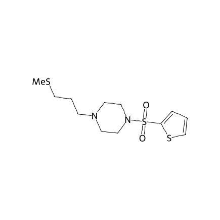 CSCCCN1CCN(S(=O)(=O)c2cccs2)CC1